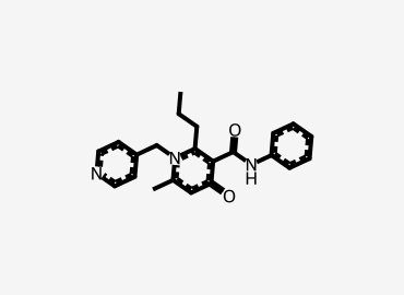 CCCc1c(C(=O)Nc2ccccc2)c(=O)cc(C)n1Cc1ccncc1